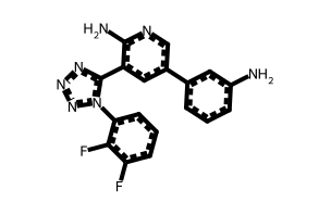 Nc1cccc(-c2cnc(N)c(-c3nnnn3-c3cccc(F)c3F)c2)c1